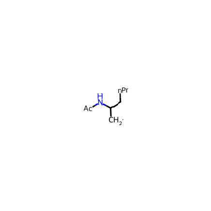 [CH2]C(CCCC)NC(C)=O